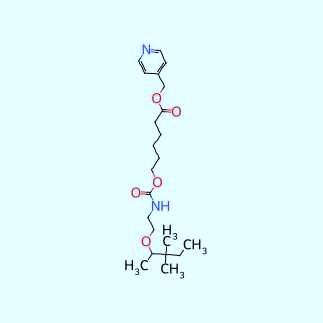 CCC(C)(C)C(C)OCCNC(=O)OCCCCCC(=O)OCc1ccncc1